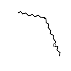 CCCCCCCCC/C=C\CCCCCCCCOCCCC